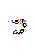 CC1(S(=O)(=O)c2ccc(CN)cc2)C=C[N+]1([O-])c1ccc(Sc2ccc(C(=O)c3ccccc3)cc2)cc1